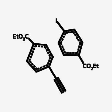 C#Cc1ccc(C(=O)OCC)cc1.CCOC(=O)c1ccc(I)cc1